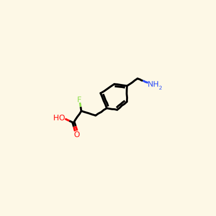 NCc1ccc(CC(F)C(=O)O)cc1